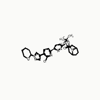 CN(c1ccc(-c2ccc(-c3cnn(C4CCCCO4)c3)c(Cl)n2)nn1)C1CC2CCC(C1)N2C(=O)OC(C)(C)C